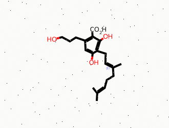 CC(C)=CCC/C(C)=C/Cc1c(O)cc(CCCO)c(C(=O)O)c1O